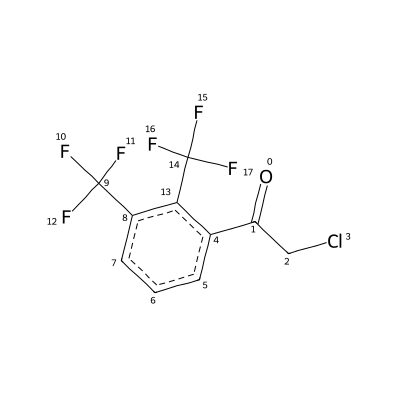 O=C(CCl)c1cccc(C(F)(F)F)c1C(F)(F)F